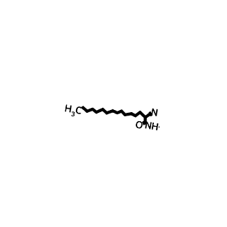 CCCCCCCCCCCCCCC(C#N)C([NH])=O